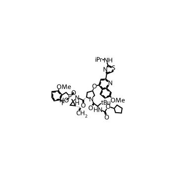 C=C[C@@H]1C[C@]1(NC(=O)[C@@H]1C[C@@H](Oc2cc(-c3csc(NC(C)C)n3)nc3cc(OC)ccc23)CN1C(=O)C(NC(=O)OC1CCCC1)C(C)(C)C)P(=O)(O)Cc1c(F)cccc1OC